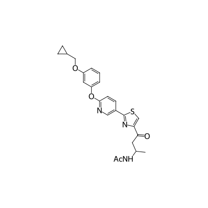 CC(=O)NC(C)CC(=O)c1csc(-c2ccc(Oc3cccc(OCC4CC4)c3)nc2)n1